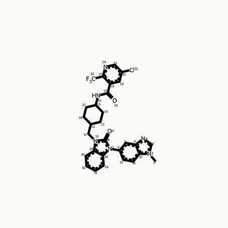 Cn1cnc2cc(-n3c(=O)n(CC4CCC(NC(=O)c5cc(Cl)cnc5C(F)(F)F)CC4)c4ccccc43)ccc21